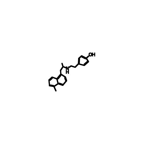 Cc1cccc2c(CC(C)NCCc3ccc(O)cc3)cccc12